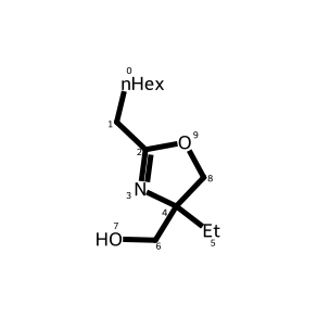 CCCCCCCC1=NC(CC)(CO)CO1